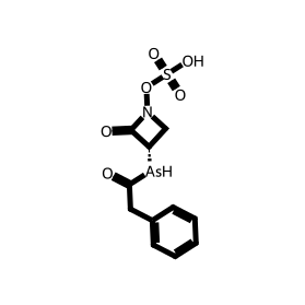 O=C(Cc1ccccc1)[AsH][C@H]1CN(OS(=O)(=O)O)C1=O